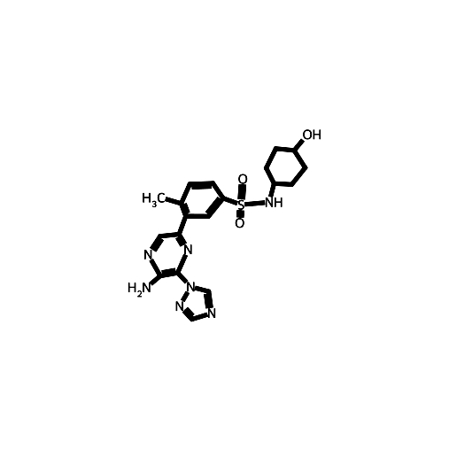 Cc1ccc(S(=O)(=O)NC2CCC(O)CC2)cc1-c1cnc(N)c(-n2cncn2)n1